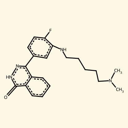 CN(C)CCCCCNc1cc(-c2n[nH]c(=O)c3ccccc23)ccc1F